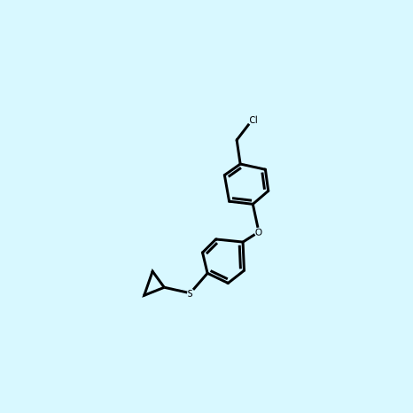 ClCc1ccc(Oc2ccc(SC3CC3)cc2)cc1